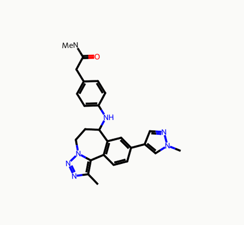 CNC(=O)Cc1ccc(NC2CCn3nnc(C)c3-c3ccc(-c4cnn(C)c4)cc32)cc1